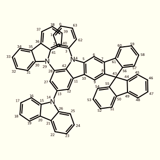 c1ccc(-n2c3cc4c(cc3c3cc(-n5c6ccccc6c6ccccc65)cc(-n5c6ccccc6c6ccccc65)c32)C2(c3ccccc3-c3ccccc32)c2ccccc2-4)cc1